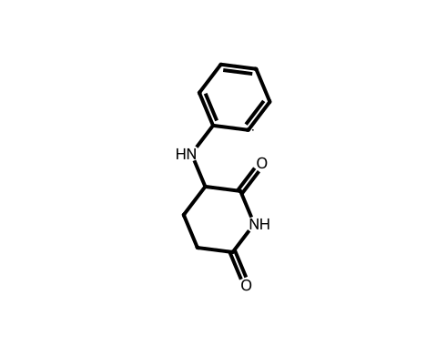 O=C1CCC(Nc2[c]cccc2)C(=O)N1